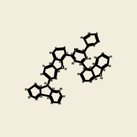 c1ccc(-c2nc(-c3cccc4c3oc3cc(-n5c6ccccc6c6cccnc65)ccc34)nc(-c3cccc4oc5ccccc5c34)n2)cc1